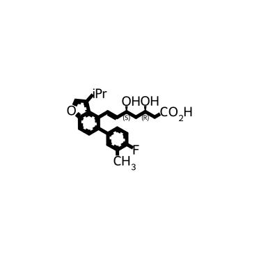 Cc1cc(-c2ccc3occ(C(C)C)c3c2C=C[C@@H](O)C[C@@H](O)CC(=O)O)ccc1F